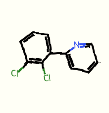 Clc1cccc(-c2cc[c]cn2)c1Cl